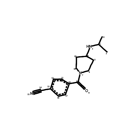 CC(C)NC1CCN(C(=O)c2ccc(C#N)cc2)CC1